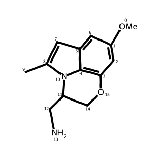 COc1cc2c3c(c1)cc(C)n3C(CN)CO2